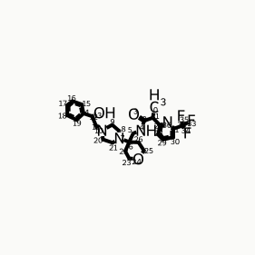 CC(C(=O)NCC1(N2CCN(CC(O)c3ccccc3)CC2)CCOCC1)c1cccc(C(F)(F)F)n1